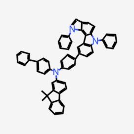 CC1(C)c2ccccc2-c2ccc(N(c3ccc(-c4ccccc4)cc3)c3ccc(-c4ccc5c(c4)c4c6c(ccc4n5-c4ccccc4)ccn6-c4ccccc4)cc3)cc21